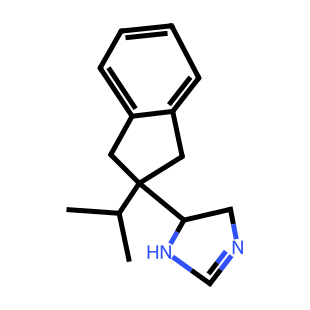 CC(C)C1(C2CN=CN2)Cc2ccccc2C1